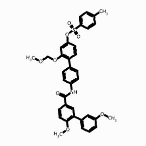 COCOc1cc(OS(=O)(=O)c2ccc(C)cc2)ccc1-c1ccc(NC(=O)c2ccc(OC)c(-c3cccc(OC)c3)c2)cc1